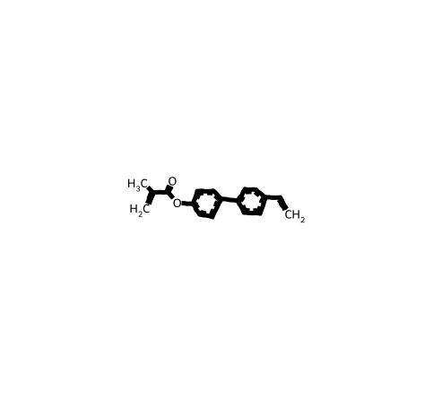 C=Cc1ccc(-c2ccc(OC(=O)C(=C)C)cc2)cc1